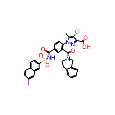 Cc1c(Cl)c(C(=O)O)nn1-c1ccc(C(=O)NS(=O)(=O)c2ccc3ccc(I)cc3c2)cc1C(=O)N1CCc2ccccc2C1